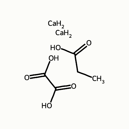 CCC(=O)O.O=C(O)C(=O)O.[CaH2].[CaH2]